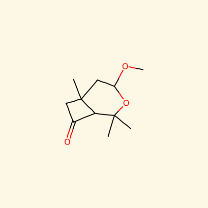 COC1CC2(C)CC(=O)C2C(C)(C)O1